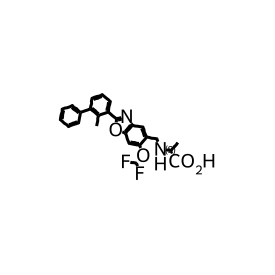 Cc1c(-c2ccccc2)cccc1-c1nc2cc(CN[C@@H](C)C(=O)O)c(OC(F)F)cc2o1